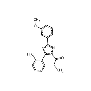 CCC(=O)n1nc(-c2cccc(OC)c2)nc1-c1ccccc1C